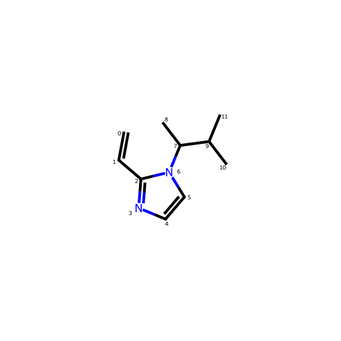 C=Cc1nccn1C(C)C(C)C